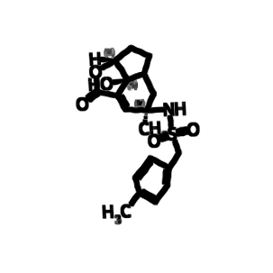 Cc1ccc(CS(=O)(=O)N[C@@]2(C)C=C3C(=O)O[C@@H]4CCC(C2)[C@]34O)cc1